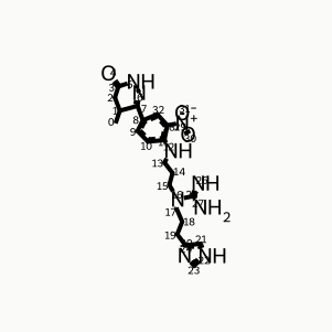 CC1CC(=O)NN=C1c1ccc(NCCCN(CCCc2c[nH]cn2)C(=N)N)c([N+](=O)[O-])c1